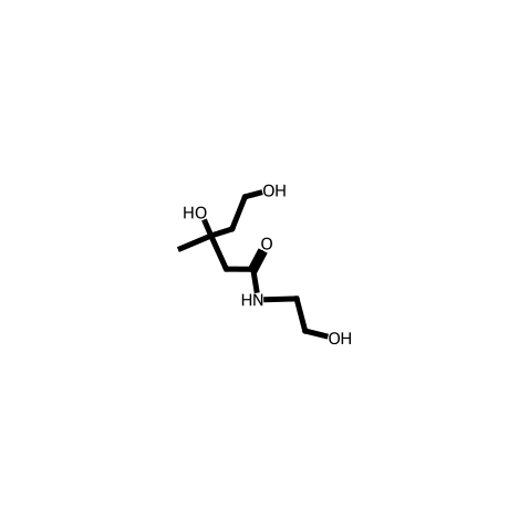 CC(O)(CCO)CC(=O)NCCO